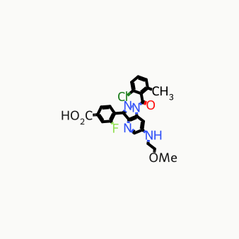 COCCNc1cnc2c(-c3ccc(C(=O)O)cc3F)nn(C(=O)c3c(C)cccc3Cl)c2c1